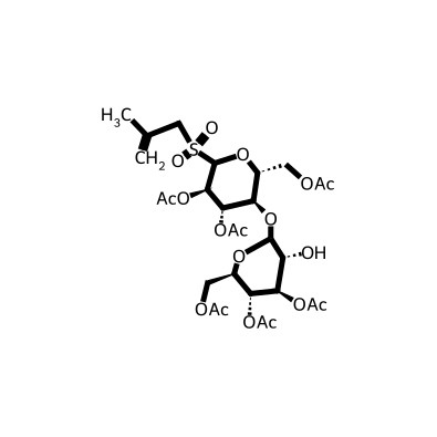 C=C(C)CS(=O)(=O)C1O[C@H](COC(C)=O)[C@@H](OC2O[C@H](COC(C)=O)[C@@H](OC(C)=O)[C@H](OC(C)=O)[C@H]2O)[C@H](OC(C)=O)[C@H]1OC(C)=O